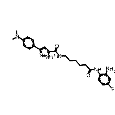 CN(C)c1ccc(-c2cc(C(=O)NCCCCCC(=O)Nc3ccc(F)cc3N)[nH]n2)cc1